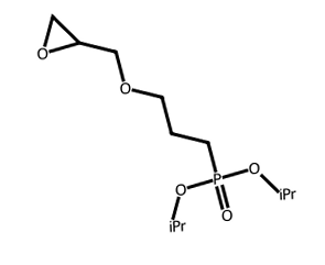 CC(C)OP(=O)(CCCOCC1CO1)OC(C)C